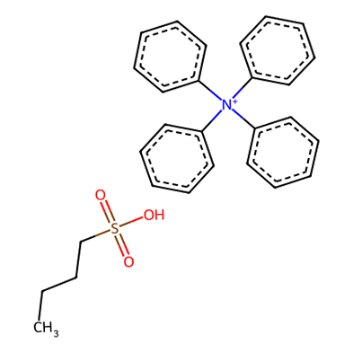 CCCCS(=O)(=O)O.c1ccc([N+](c2ccccc2)(c2ccccc2)c2ccccc2)cc1